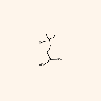 CCCN(CCC(C)(F)F)C(C)C